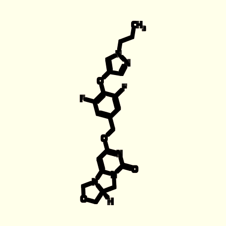 CCCn1cc(Oc2c(F)cc(COc3cc4n(c(=O)n3)C[C@@H]3COCN43)cc2F)cn1